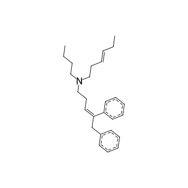 CCC=CCCN(CCC=C(Cc1ccccc1)c1ccccc1)CCCC